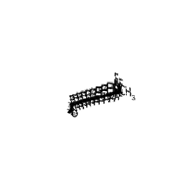 CC(F)(C(F)(F)F)C(F)(F)C(F)(F)C(F)(F)C(F)(F)C(F)(F)C(F)(F)C(F)(F)C(F)(F)C(F)(F)C(F)(F)CC1CO1